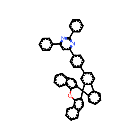 c1ccc(-c2cc(-c3ccc(-c4ccc5c(c4)C4(c6ccccc6-5)c5ccc6ccccc6c5Oc5c4ccc4ccccc54)cc3)nc(-c3ccccc3)n2)cc1